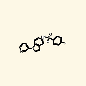 O=S(=O)(Nc1ccc2c(ccn2-c2cccnc2)c1)c1ccc(F)cc1